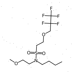 CCCCN(CCOC)S(=O)(=O)CCOCC(F)(F)C(F)(F)F